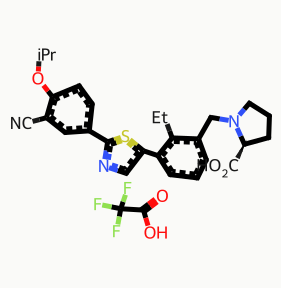 CCc1c(CN2CCC[C@H]2C(=O)O)cccc1-c1cnc(-c2ccc(OC(C)C)c(C#N)c2)s1.O=C(O)C(F)(F)F